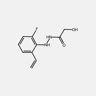 C=Cc1cccc(F)c1NNC(=O)CO